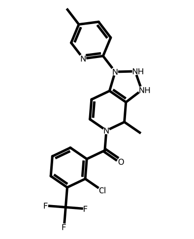 Cc1ccc(N2NNC3=C2C=CN(C(=O)c2cccc(C(F)(F)F)c2Cl)C3C)nc1